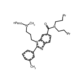 CCCCCN(C)CCCn1c(-c2cccc(C)c2)nc2ccc(C(=O)N(CCC(C)C)CCC(C)C)cc21